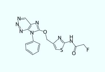 O=C(CF)Nc1nc(COc2nc3cnnnc3n2-c2ccccc2)cs1